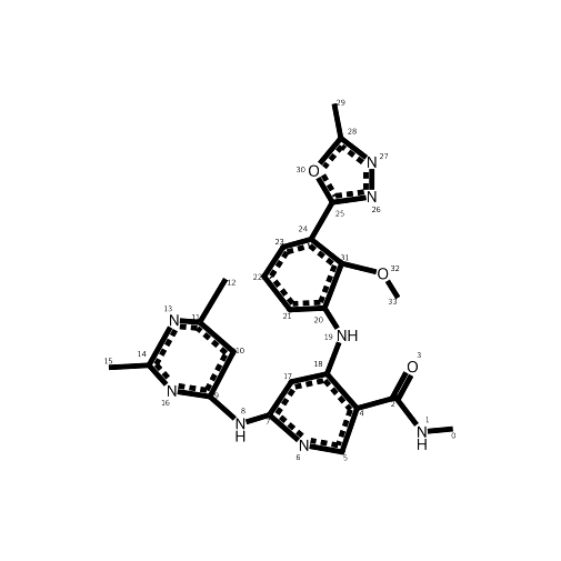 CNC(=O)c1cnc(Nc2cc(C)nc(C)n2)cc1Nc1cccc(-c2nnc(C)o2)c1OC